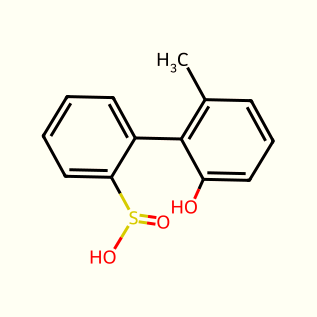 Cc1cccc(O)c1-c1ccccc1S(=O)O